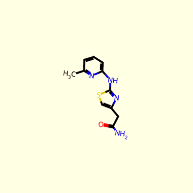 Cc1cccc(Nc2nc(CC(N)=O)cs2)n1